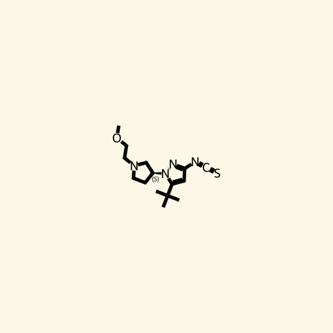 COCCN1CC[C@H](n2nc(N=C=S)cc2C(C)(C)C)C1